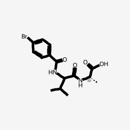 CC(C)C(NC(=O)c1ccc(Br)cc1)C(=O)N[C@@H](C)C(=O)O